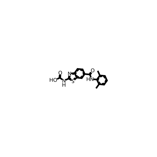 Cc1cccc(C)c1NC(=O)c1ccc2nc(NC(=O)O)sc2c1